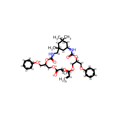 C=CC(=O)OCC(COc1ccccc1)OC(=O)NCC1(C)CC(NC(=O)OC(COC(=O)C=C)COc2ccccc2)CC(C)(C)C1